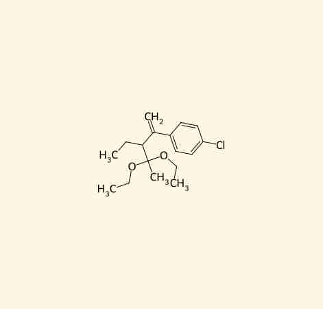 C=C(c1ccc(Cl)cc1)C(CC)C(C)(OCC)OCC